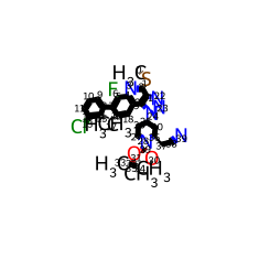 CSc1nc2c(F)c(-c3cccc(Cl)c3C)c(C)cc2c2c1nnn2[C@H]1CCN(C(=O)OC(C)(C)C)[C@H](CC#N)C1